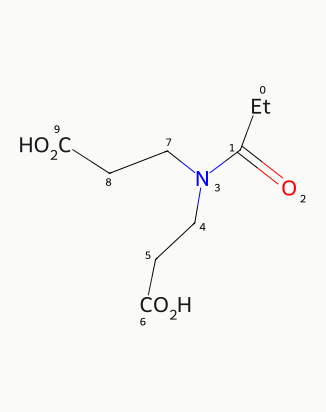 CCC(=O)N(CCC(=O)O)CCC(=O)O